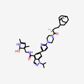 CC1=CC(C)=C(CNC(=O)c2cc(-c3ccc(N4CCN(C(=O)[C@H](C)CCC5CC6CC7CCC5C(C7)C6)CC4)nc3)cc3c2cnn3C(C)C)C(O)N1